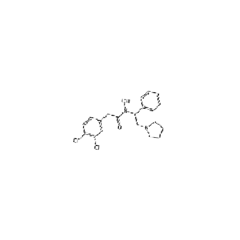 O=C(Cc1ccc(Cl)c(Cl)c1)N(O)C(CN1CCCC1)c1ccccc1